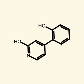 Oc1cc(-c2[c]cccc2O)ccn1